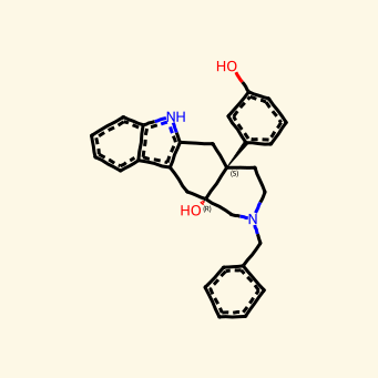 Oc1cccc([C@@]23CCN(Cc4ccccc4)C[C@@]2(O)Cc2c([nH]c4ccccc24)C3)c1